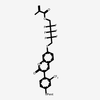 C=C(C)C(=O)OCC(F)(F)C(F)(F)C(F)(F)CSc1ccc2cc(-c3ccc(CCCCC)cc3C(F)(F)F)c(=O)oc2c1